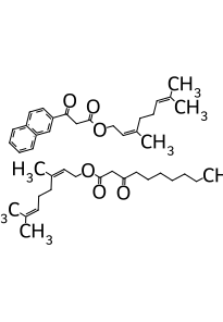 CC(C)=CCCC(C)=CCOC(=O)CC(=O)c1ccc2ccccc2c1.CCCCCCCC(=O)CC(=O)OCC=C(C)CCC=C(C)C